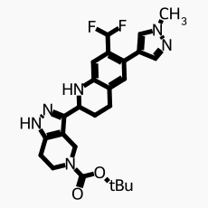 Cn1cc(-c2cc3c(cc2C(F)F)NC(c2n[nH]c4c2CN(C(=O)OC(C)(C)C)CC4)CC3)cn1